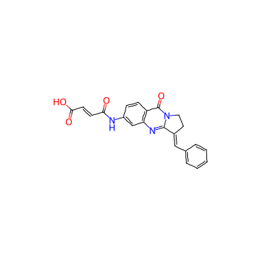 O=C(O)C=CC(=O)Nc1ccc2c(=O)n3c(nc2c1)C(=Cc1ccccc1)CC3